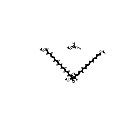 CCCCCCCCCCCCCCCC(=O)C(C)(Cl)C(=O)CCCCCCCCCCCCCCC.CNC